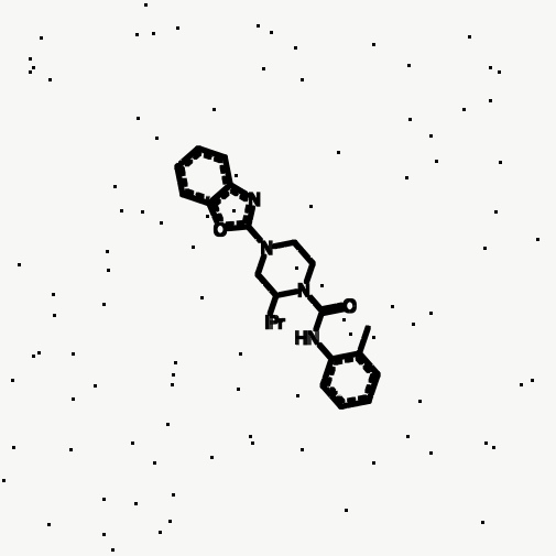 Cc1ccccc1NC(=O)N1CCN(c2nc3ccccc3o2)CC1C(C)C